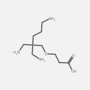 NCCCC(CN)(CN)COCCC(=O)O